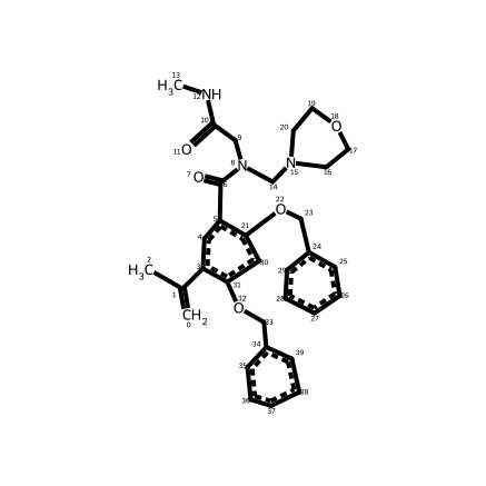 C=C(C)c1cc(C(=O)N(CC(=O)NC)CN2CCOCC2)c(OCc2ccccc2)cc1OCc1ccccc1